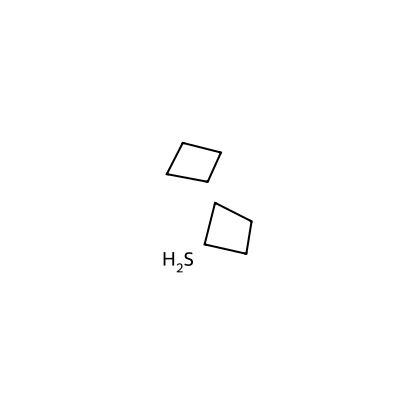 C1CCC1.C1CCC1.S